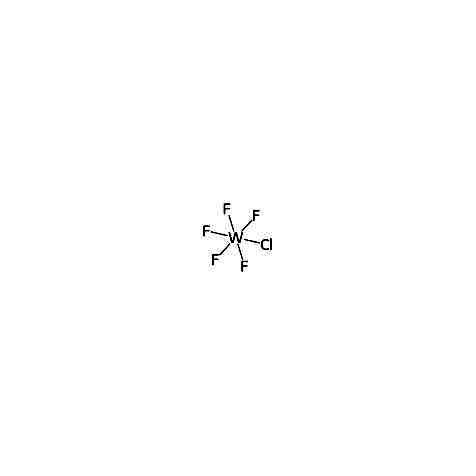 [F][W]([F])([F])([F])([F])[Cl]